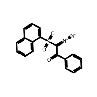 [N-]=[N+]=C(C(=O)c1ccccc1)S(=O)(=O)c1cccc2ccccc12